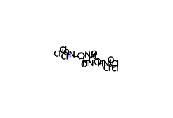 O=C(NCc1ccc2[nH]c3c(=O)c4cc(C/N=C/OC(Cl)(Cl)Cl)ccc4[nH]c3c(=O)c2c1)C(Cl)(Cl)Cl